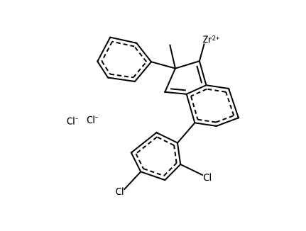 CC1(c2ccccc2)C=c2c(-c3ccc(Cl)cc3Cl)cccc2=[C]1[Zr+2].[Cl-].[Cl-]